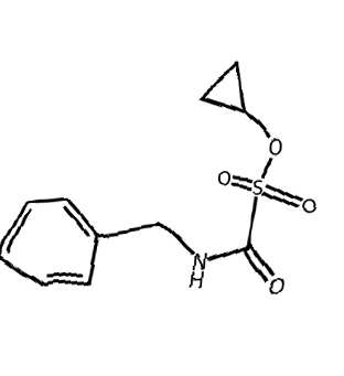 O=C(NCc1ccccc1)S(=O)(=O)OC1CC1